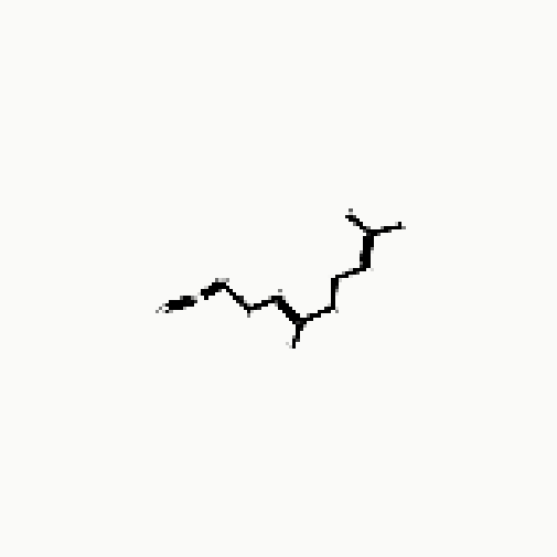 CC(C)=CCCC(C)=CCC=C=O